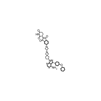 Nc1ncnc2c1c(-c1ccc(Oc3ccccc3)cc1)nn2C1CCC2(C1)CN(C1CN(c3ccc4c(c3)C(=O)N(C3CCC(=O)NC3=O)C4=O)C1)C2